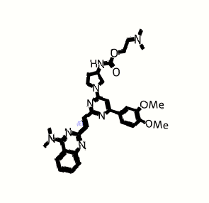 COc1ccc(-c2cc(N3CCC(NC(=O)OCCN(C)C)C3)nc(/C=C/c3nc(N(C)C)c4ccccc4n3)n2)cc1OC